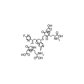 N[C@H](CCC(=O)N[C@@H](CSC(CC(=O)CC(SC[C@H](NC(=O)CC[C@H](N)C(=O)O)C(=O)NCC(=O)O)c1cnc(F)cn1)c1cnc(F)cn1)C(=O)NCC(=O)O)C(=O)O